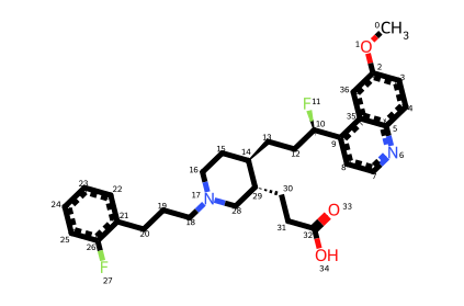 COc1ccc2nccc([C@H](F)CC[C@@H]3CCN(CCCc4ccccc4F)C[C@H]3CCC(=O)O)c2c1